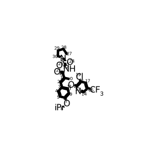 CC(=Cc1ccc(OC(C)C)cc1Oc1ncc(C(F)(F)F)cc1Cl)C(=O)NS(=O)(=O)N1CCCC1